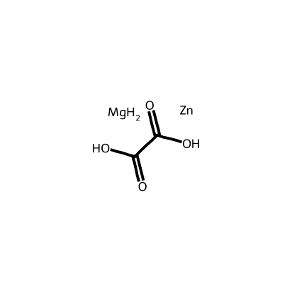 O=C(O)C(=O)O.[MgH2].[Zn]